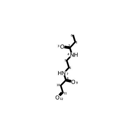 CCC(=O)NCCNC(=O)CC=O